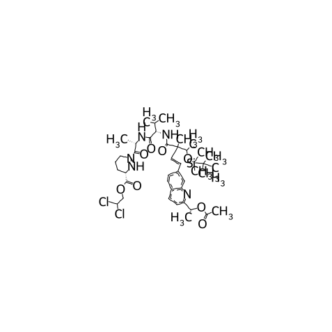 CC(=O)O[C@H](C)c1ccc2ccc(/C=C/C(C)(C(=O)N[C@H](C(=O)N[C@@H](C)C(=O)N3CCC[C@@H](C(=O)OCC(Cl)Cl)N3)C(C)C)C(C)O[Si](C)(C)C(C)(C)C)cc2n1